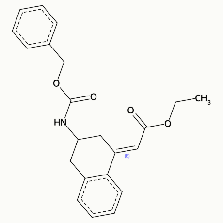 CCOC(=O)/C=C1\CC(NC(=O)OCc2ccccc2)Cc2ccccc21